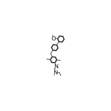 CCN(C)C=Nc1cc(C)c(Cc2ccc(-c3ccccc3OC)cc2)cc1C